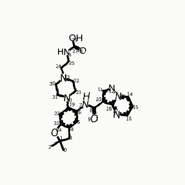 CC1(C)Cc2cc(NC(=O)c3cnn4cccnc34)c(N3CCN(CCNC(=O)O)CC3)cc2O1